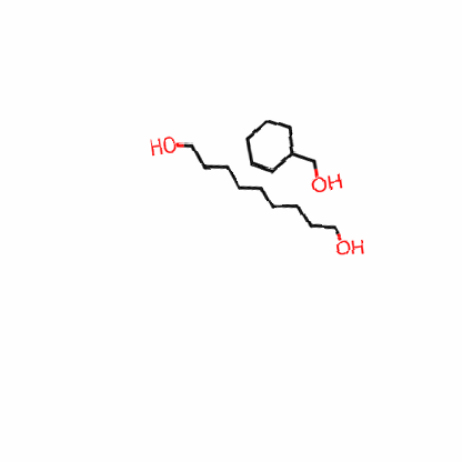 OCC1CCCCC1.OCCCCCCCCCO